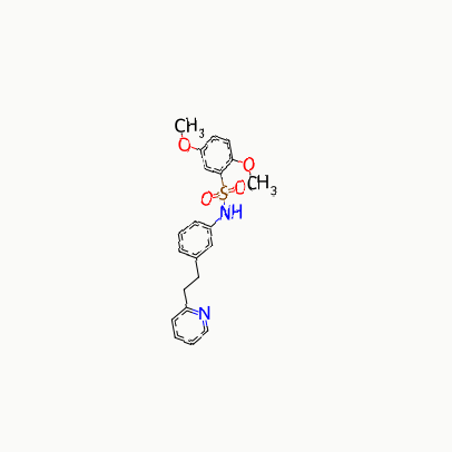 COc1ccc(OC)c(S(=O)(=O)Nc2cccc(CCc3ccccn3)c2)c1